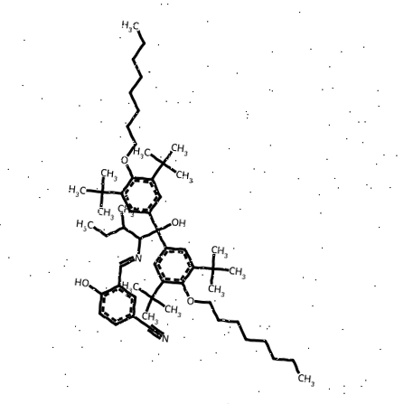 CCCCCCCCOc1c(C(C)(C)C)cc(C(O)(c2cc(C(C)(C)C)c(OCCCCCCCC)c(C(C)(C)C)c2)C(N=Cc2cc(C#N)ccc2O)C(C)CC)cc1C(C)(C)C